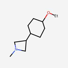 CCOC1CCC(C2CN(C)C2)CC1